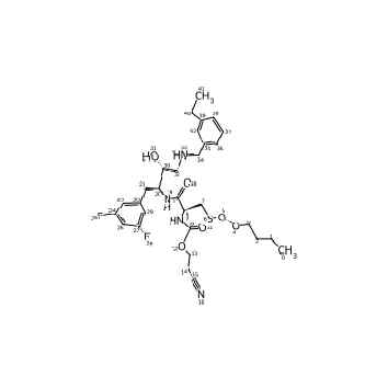 CCCCOOSC[C@@H](NC(=O)OCCC#N)C(=O)N[C@@H](Cc1cc(F)cc(F)c1)[C@H](O)CNCc1cccc(CC)c1